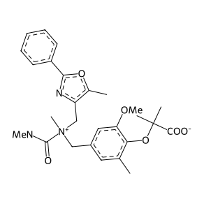 CNC(=O)[N+](C)(Cc1cc(C)c(OC(C)(C)C(=O)[O-])c(OC)c1)Cc1nc(-c2ccccc2)oc1C